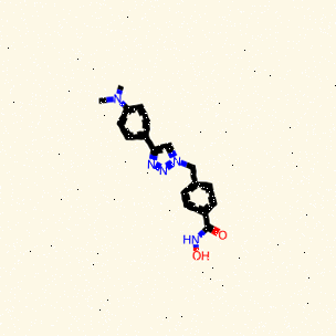 CN(C)c1ccc(-c2cn(Cc3ccc(C(=O)NO)cc3)nn2)cc1